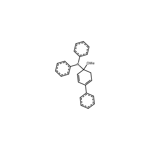 COC1(N(c2ccccc2)c2ccccc2)C=CC(c2ccccc2)=CC1